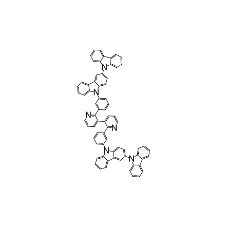 c1cc(-c2ncccc2-c2cccnc2-c2cccc(-n3c4ccccc4c4cc(-n5c6ccccc6c6ccccc65)ccc43)c2)cc(-n2c3ccccc3c3cc(-n4c5ccccc5c5ccccc54)ccc32)c1